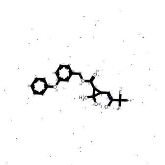 CC1(C)C(/C=C(\Cl)C(F)(F)F)C1C(=O)OCc1cccc(Oc2ccccc2)c1